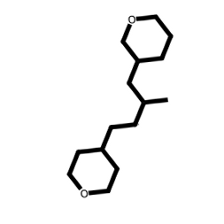 CC([CH]CC1CCOCC1)CC1CCCOC1